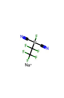 N#C[B-](F)(C#N)C(F)(F)C(F)(F)F.[Na+]